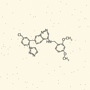 COc1ccc(CNc2cnnc3cc(-c4cc(Cl)ccc4-n4ccnn4)ccc23)c(OC)c1